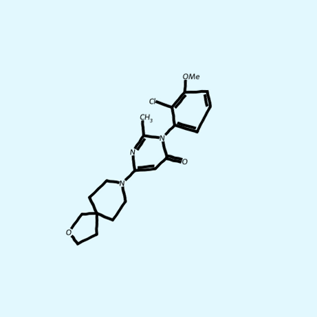 COc1cccc(-n2c(C)nc(N3CCC4(CCOC4)CC3)cc2=O)c1Cl